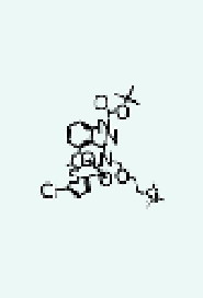 COc1cccc2c1c(N(COCC[Si](C)(C)C)S(=O)(=O)c1ccc(Cl)s1)nn2C(=O)OC(C)(C)C